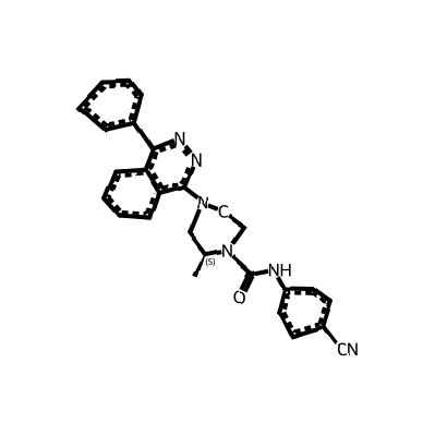 C[C@H]1CN(c2nnc(-c3ccccc3)c3ccccc23)CCN1C(=O)Nc1ccc(C#N)cc1